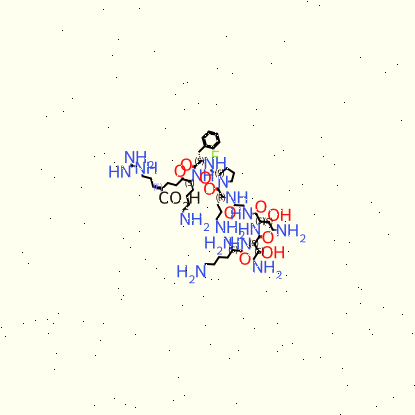 N=C(N)NCC/C=C(\CCC(=O)[C@H](CCCCN)NC(=O)[C@H](Cc1ccccc1F)NC(=O)[C@@H]1CCCN1C(=O)[C@@H](CCCN)NC(=O)CNC(=O)[C@@H](NC(=O)[C@@H](NC(=O)[C@@H](N)CCCCN)[C@@H](O)CN)[C@@H](O)CN)C(=O)O